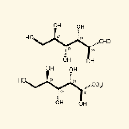 O=C(O)[C@H](O)[C@@H](O)[C@H](O)[C@H](O)CO.O=C[C@H](O)[C@@H](O)[C@H](O)[C@H](O)CO